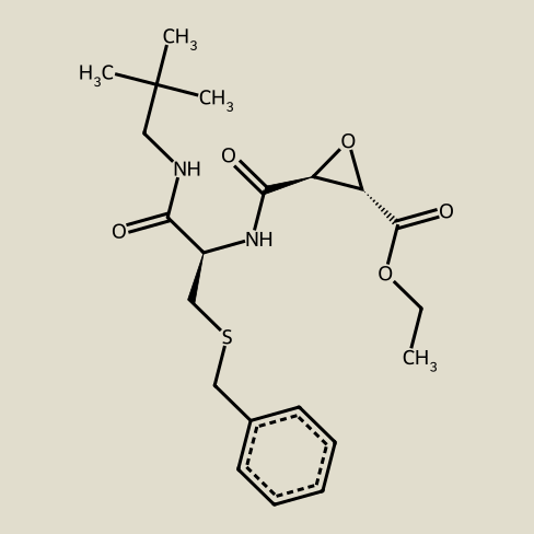 CCOC(=O)[C@H]1O[C@@H]1C(=O)N[C@@H](CSCc1ccccc1)C(=O)NCC(C)(C)C